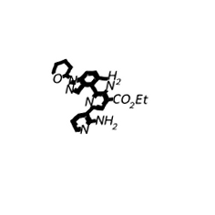 CCOC(=O)c1cc(-c2cccnc2N)nc(-c2c(C)ccc3c2cnn3C2CCCCO2)c1N